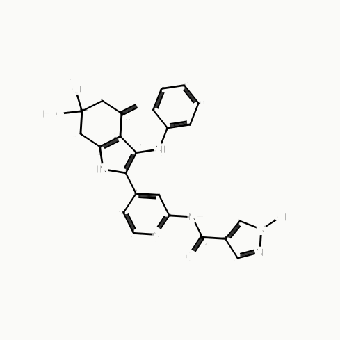 Cn1cc(C(=O)Nc2cc(-c3[nH]c4c(c3Nc3ccccc3)C(=O)CC(C)(C)C4)ccn2)cn1